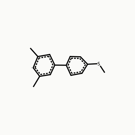 CSc1ccc(-c2cc(C)[c]c(C)c2)cc1